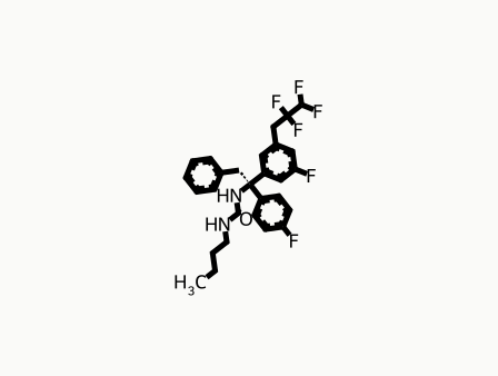 CCCCNC(=O)N[C@](Cc1ccccc1)(c1ccc(F)cc1)c1cc(F)cc(CC(F)(F)C(F)F)c1